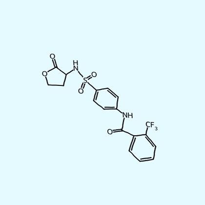 O=C(Nc1ccc(S(=O)(=O)NC2CCOC2=O)cc1)c1ccccc1C(F)(F)F